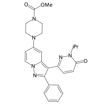 COC(=O)N1CCN(c2ccn3nc(-c4ccccc4)c(-c4ccc(=O)n(C(C)C)n4)c3c2)CC1